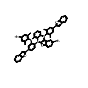 Cc1cc(C(C)(C)C)cc(C)c1N1c2cc(-c3cc4ccccc4o3)ccc2B2c3sc4ccc(C(C)(C)C)cc4c3N(c3c(C)cc(-c4cc5ccccc5o4)cc3C)c3cccc1c32